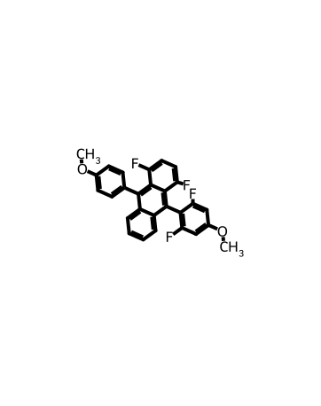 COc1ccc(-c2c3ccccc3c(-c3c(F)cc(OC)cc3F)c3c(F)ccc(F)c23)cc1